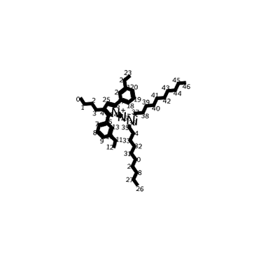 CCCCC1=C(c2cccc(CC)c2)[N+](=[N-])C(c2cccc(CC)c2)=C1.CCCCCCCCC[CH2][Ni][CH2]CCCCCCCCC